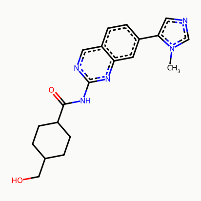 Cn1cncc1-c1ccc2cnc(NC(=O)C3CCC(CO)CC3)nc2c1